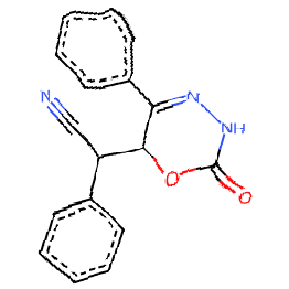 N#CC(c1ccccc1)C1OC(=O)NN=C1c1ccccc1